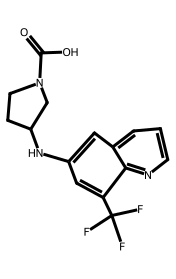 O=C(O)N1CCC(Nc2cc(C(F)(F)F)c3ncccc3c2)C1